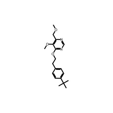 COCc1ncnc(OCCc2ccc(C(C)(C)C)cc2)c1OC